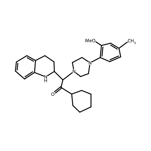 COc1cc(C)ccc1N1CCN(C(C(=O)C2CCCCC2)C2CCc3ccccc3N2)CC1